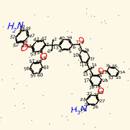 CC(C)(c1ccc(C(=O)c2ccc(C(C)(C)c3ccc(Oc4ccc(N)cc4)cc3Oc3ccccc3)cc2)cc1)c1ccc(Oc2ccc(N)cc2)cc1Oc1ccccc1